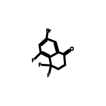 O=C1CCC(F)(F)c2c(F)cc(Br)cc21